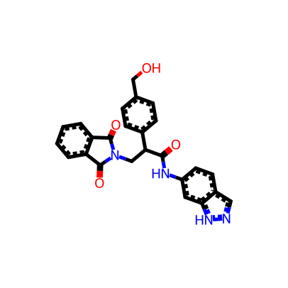 O=C(Nc1ccc2cn[nH]c2c1)C(CN1C(=O)c2ccccc2C1=O)c1ccc(CO)cc1